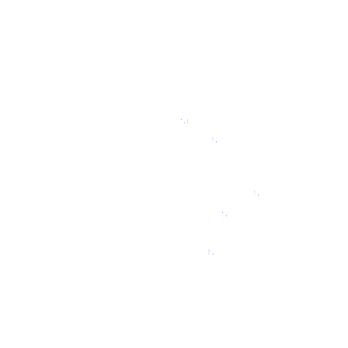 C=C/C=C(\C=C/C)CCNC/N=C\C=C(/N=C)N1CCNc2ccccc21